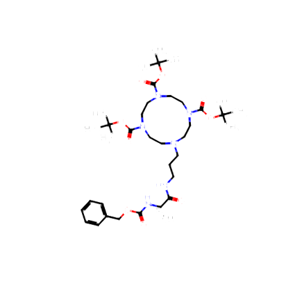 C[C@H](NC(=O)OCc1ccccc1)C(=O)NCCCN1CCN(C(=O)OC(C)(C)C)CCN(C(=O)OC(C)(C)C)CCN(C(=O)OC(C)(C)C)CC1